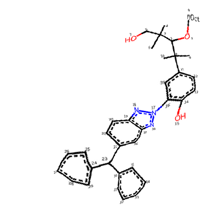 CCCCCCCCOC(C(C)(C)CO)C(C)(C)c1ccc(O)c(-n2nc3ccc(C(c4ccccc4)c4ccccc4)cc3n2)c1